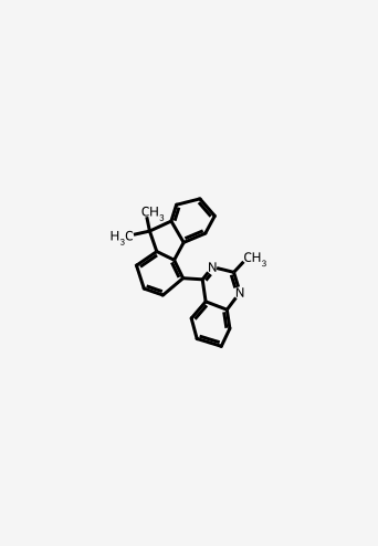 Cc1nc(-c2cccc3c2-c2ccccc2C3(C)C)c2ccccc2n1